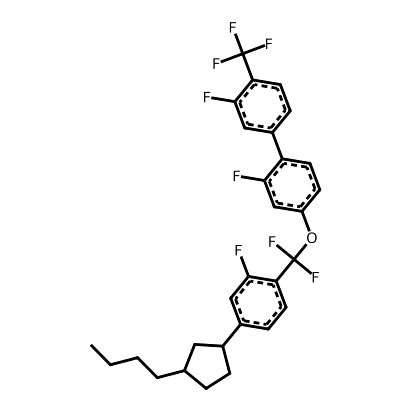 CCCCC1CCC(c2ccc(C(F)(F)Oc3ccc(-c4ccc(C(F)(F)F)c(F)c4)c(F)c3)c(F)c2)C1